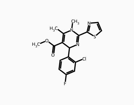 COC(=O)C1=C(C)N(C)C(c2nccs2)=NC1c1ccc(F)cc1Cl